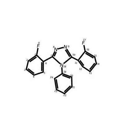 Fc1ccccc1-c1nnc(-c2ccccc2F)n1-c1ccccc1